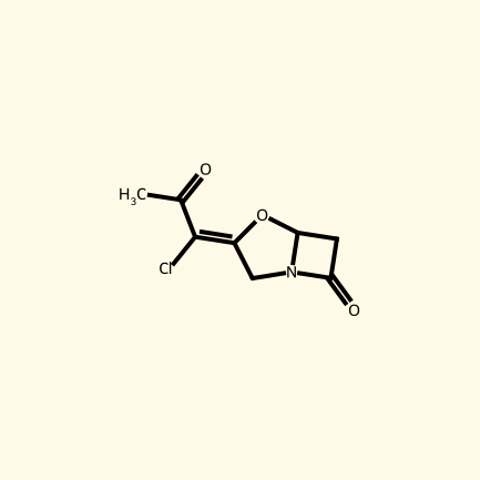 CC(=O)C(Cl)=C1CN2C(=O)CC2O1